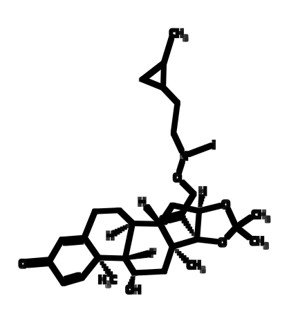 CC1CC1CCN(I)OCC(=O)[C@@]12OC(C)(C)O[C@@H]1C[C@H]1[C@@H]3CCC4=CC(=O)C=C[C@]4(C)[C@@]3(F)[C@@H](O)C[C@@]12C